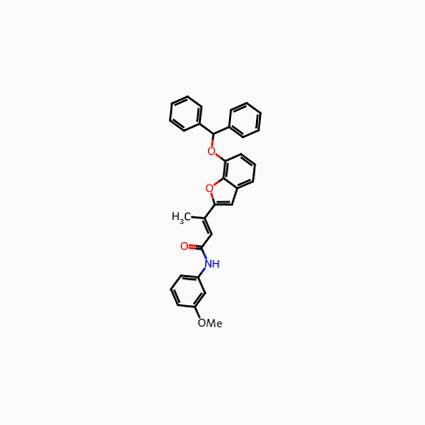 COc1cccc(NC(=O)C=C(C)c2cc3cccc(OC(c4ccccc4)c4ccccc4)c3o2)c1